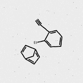 C#Cc1ccccc1CC.C1=CC2=CC=C1C2